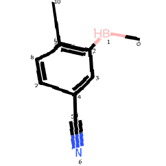 CBc1cc(C#N)ccc1C